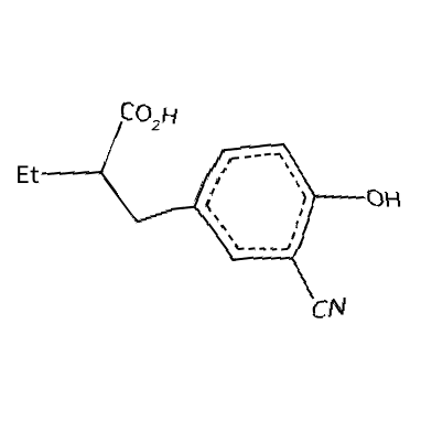 CCC(Cc1ccc(O)c(C#N)c1)C(=O)O